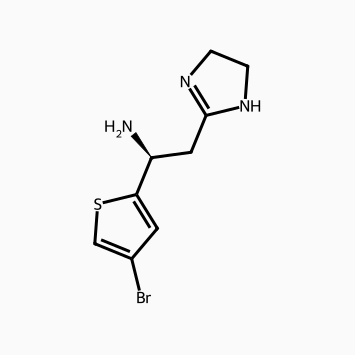 N[C@@H](CC1=NCCN1)c1cc(Br)cs1